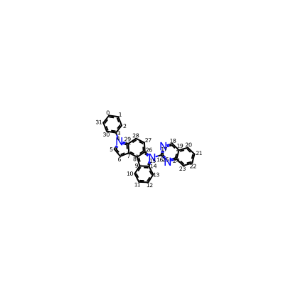 c1ccc(-n2ccc3c4c5ccccc5n(-c5ncc6ccccc6n5)c4ccc32)cc1